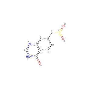 O=c1[nH]cnc2cc(C[SH](=O)=O)ccc12